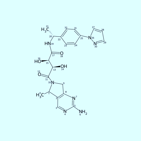 CC1c2cnc(N)nc2CN1C(=O)[C@H](O)[C@@H](O)C(=O)N[C@H](C)c1ccc(-n2cccn2)cc1